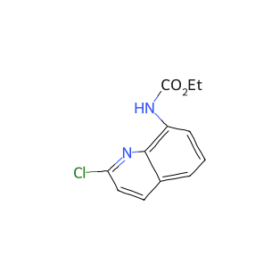 CCOC(=O)Nc1cccc2ccc(Cl)nc12